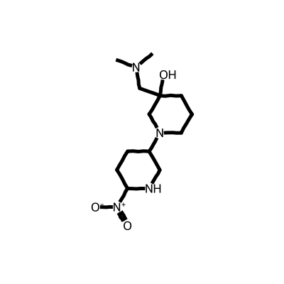 CN(C)CC1(O)CCCN(C2CCC([N+](=O)[O-])NC2)C1